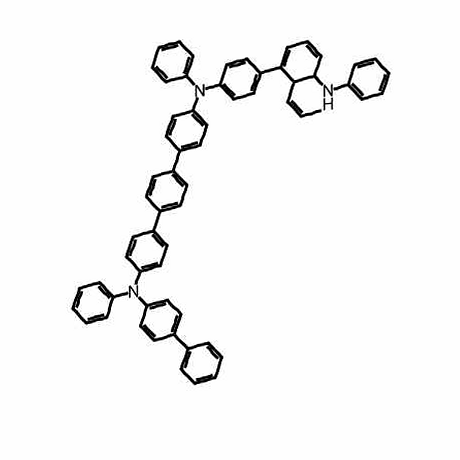 C/C=C\C1C(c2ccc(N(c3ccccc3)c3ccc(-c4ccc(-c5ccc(N(c6ccccc6)c6ccc(-c7ccccc7)cc6)cc5)cc4)cc3)cc2)=CC=CC1Nc1ccccc1